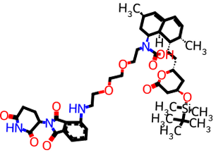 C[C@H]1C=C2C=C[C@H](C)[C@H](CC[C@@H]3C[C@@H](O[Si](C)(C)C(C)(C)C)CC(=O)O3)[C@H]2[C@@H](N(CCOCCOCCNc2cccc3c2C(=O)N(C2CCC(=O)NC2=O)C3=O)C(=O)O)C1